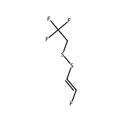 FC=CSSCC(F)(F)F